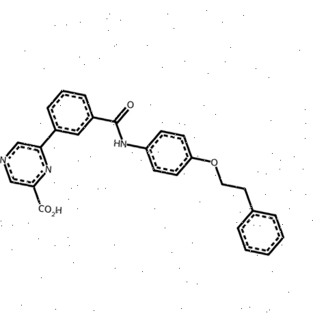 O=C(Nc1ccc(OCCc2ccccc2)cc1)c1cccc(-c2cncc(C(=O)O)n2)c1